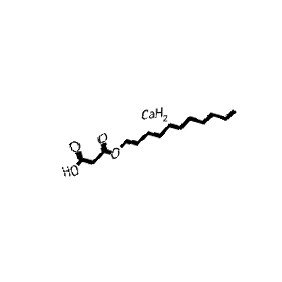 CCCCCCCCCCCOC(=O)CC(=O)O.[CaH2]